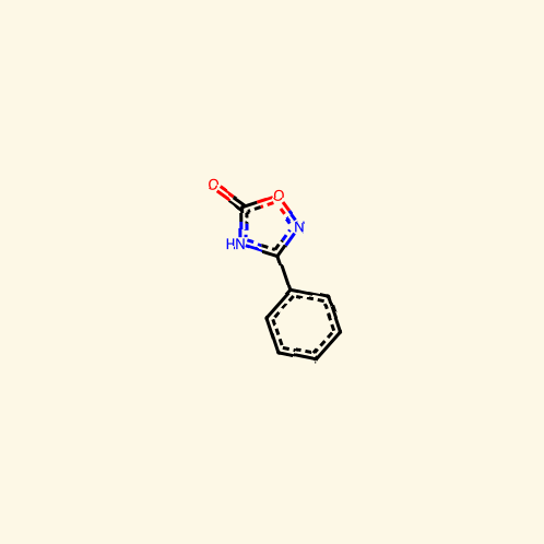 O=c1[nH]c(-c2cc[c]cc2)no1